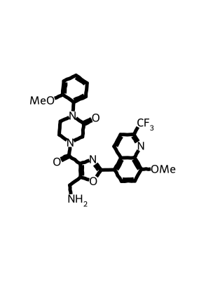 COc1ccccc1N1CCN(C(=O)c2nc(-c3ccc(OC)c4nc(C(F)(F)F)ccc34)oc2CN)CC1=O